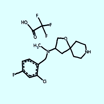 CN(Cc1ccc(F)cc1Cl)C1COC2(CCNCC2)C1.O=C(O)C(F)(F)F